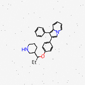 CCC(Oc1ccc(-c2cn3ccccc3c2-c2ccccc2)cc1)C1CCCNC1